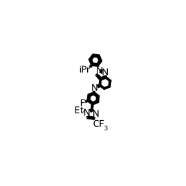 CCn1cc(C(F)(F)F)nc1-c1ccc(/N=C2\CCCc3nn(-c4ccccc4C(C)C)cc32)cc1F